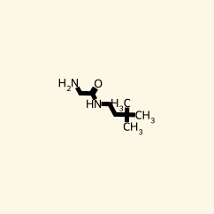 CC(C)(C)CCNC(=O)CN